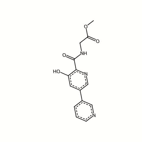 COC(=O)CNC(=O)c1ncc(-c2cccnc2)cc1O